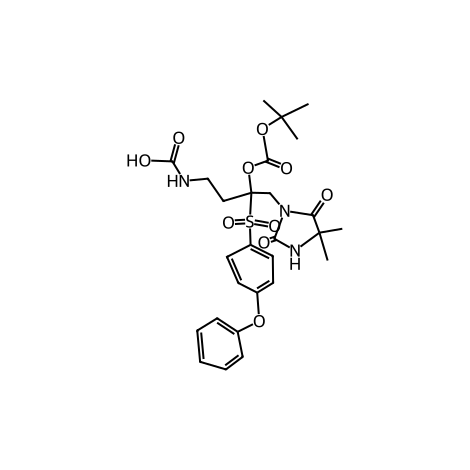 CC(C)(C)OC(=O)OC(CCNC(=O)O)(CN1C(=O)NC(C)(C)C1=O)S(=O)(=O)c1ccc(Oc2ccccc2)cc1